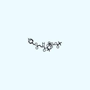 CC(C)(C)C(=O)OCO[P@]1(=O)OCC(C)(C)[C@H](C(=O)NCCC(=O)OCc2ccncc2)O1